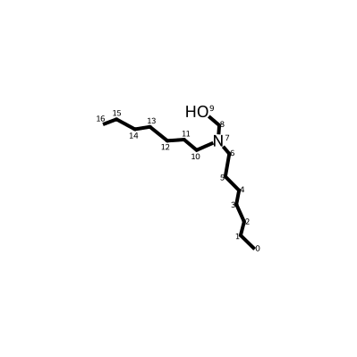 CCCCCCCN(CO)CCCCCCC